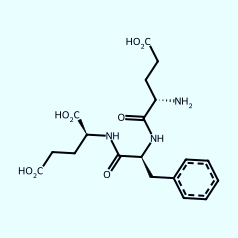 N[C@@H](CCC(=O)O)C(=O)N[C@@H](Cc1ccccc1)C(=O)N[C@@H](CCC(=O)O)C(=O)O